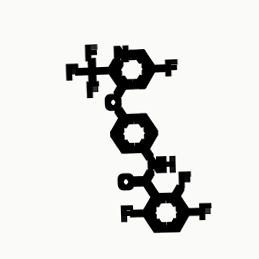 O=C(Nc1ccc(Oc2cc(F)cnc2C(F)(F)F)cc1)c1c(F)ccc(F)c1F